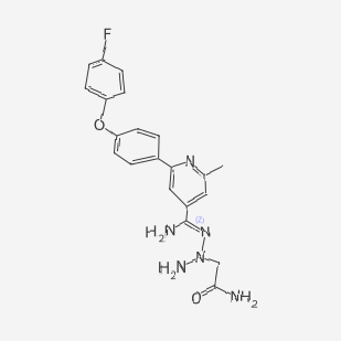 Cc1cc(/C(N)=N/N(N)CC(N)=O)cc(-c2ccc(Oc3ccc(F)cc3)cc2)n1